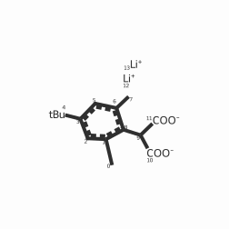 Cc1cc(C(C)(C)C)cc(C)c1C(C(=O)[O-])C(=O)[O-].[Li+].[Li+]